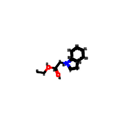 CCOC(=O)Cn1c[c]c2ccccc21